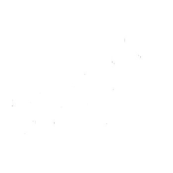 CCCN(C)/C=N/c1cc(C)c(Oc2ccc(Br)c(Br)c2)cc1C